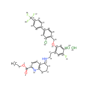 CCOC(=O)c1ccc2c(n1)CCCC2NCCc1cc(F)ccc1OCc1ccc(-c2ccc(C(F)(F)F)cc2)cc1Cl.Cl.Cl